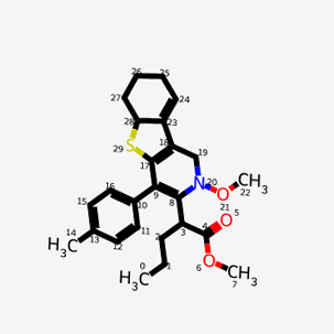 CCCC(C(=O)OC)C1=C(c2ccc(C)cc2)C2=C(CN1OC)C1=CCCCC1S2